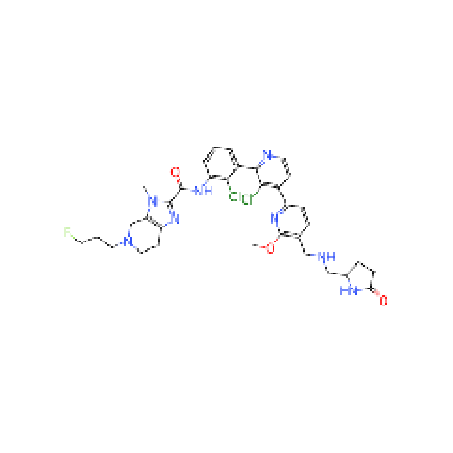 COc1nc(-c2ccnc(-c3cccc(NC(=O)c4nc5c(n4C)CN(CCCF)CC5)c3Cl)c2Cl)ccc1CNCC1CCC(=O)N1